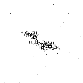 COc1cc(C)c(S(=O)(=O)N(C)C2(C(=O)NCC(=O)N(C)Cc3ccc(N(C)CCN(C)C)cc3)CC2)c(C)c1